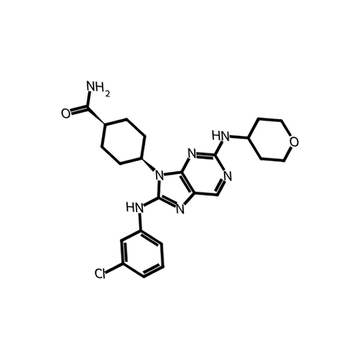 NC(=O)[C@H]1CC[C@@H](n2c(Nc3cccc(Cl)c3)nc3cnc(NC4CCOCC4)nc32)CC1